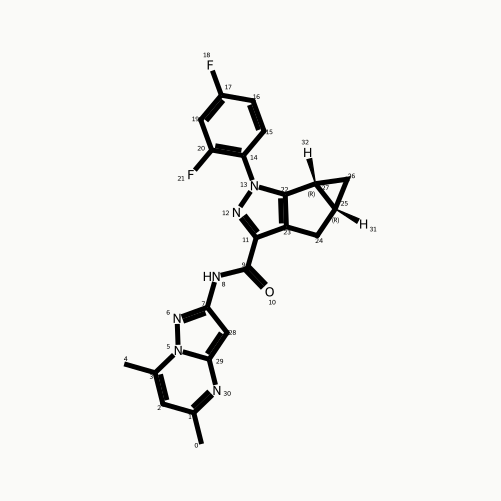 Cc1cc(C)n2nc(NC(=O)c3nn(-c4ccc(F)cc4F)c4c3C[C@H]3C[C@@H]43)cc2n1